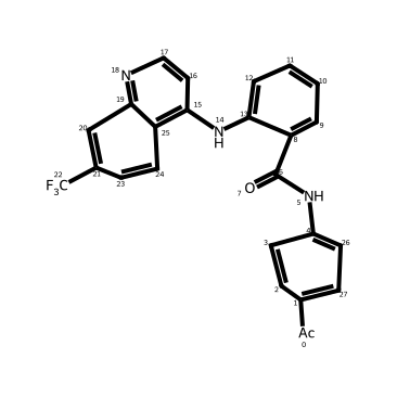 CC(=O)c1ccc(NC(=O)c2ccccc2Nc2ccnc3cc(C(F)(F)F)ccc23)cc1